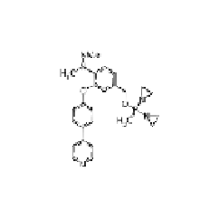 C=P(OCc1ccc(N(C)NC)c(Oc2ccc(-c3ccncc3)cc2)c1)(N1CC1)N1CC1